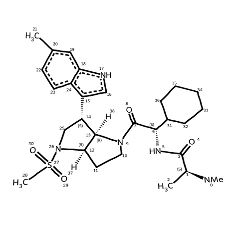 CN[C@@H](C)C(=O)N[C@H](C(=O)N1CC[C@@H]2[C@H]1[C@@H](c1c[nH]c3cc(C)ccc13)CN2S(C)(=O)=O)C1CCCCC1